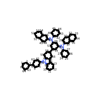 c1ccc(-c2ccc(-n3c4ccccc4c4cc(-c5cc(N(c6ccccc6)c6ccc7ccccc7c6)cc(N(c6ccccc6)c6ccc7ccccc7c6)c5)ccc43)cc2)cc1